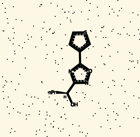 CC[CH][C@H](O)c1noc(-c2ccsc2)n1